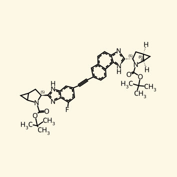 CC(C)(C)OC(=O)N1C2CC2C[C@H]1c1nc2c(F)cc(C#Cc3ccc4c(ccc5nc([C@@H]6C[C@H]7C[C@H]7N6C(=O)OC(C)(C)C)[nH]c54)c3)cc2[nH]1